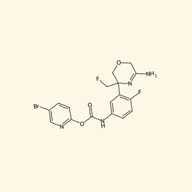 NC1=NC(CF)(c2cc(NC(=O)Oc3ccc(Br)cn3)ccc2F)COC1